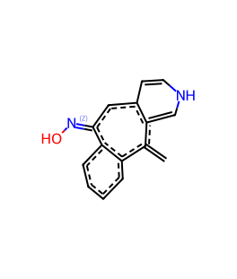 C=c1c2c(c/c(=N/O)c3ccccc13)C=CNC=2